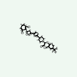 O=CC(Sc1ncc(C(F)(F)F)cc1Cl)N1CCC(c2nc(C3=NO[C@@H](c4c(Cl)cccc4Cl)C3)cs2)CC1